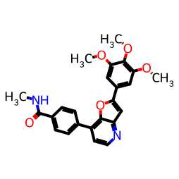 CNC(=O)c1ccc(-c2ccnc3cc(-c4cc(OC)c(OC)c(OC)c4)oc23)cc1